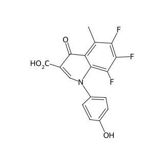 Cc1c(F)c(F)c(F)c2c1c(=O)c(C(=O)O)cn2-c1ccc(O)cc1